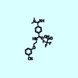 CN(C)C(=N)c1ccc(C(=O)NCCOc2cccc(C#N)c2)cc1.O=C(O)C(F)(F)F